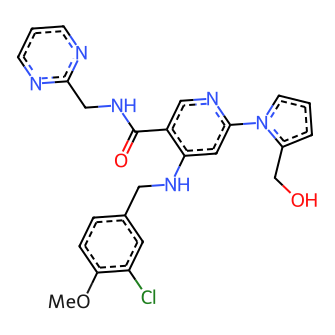 COc1ccc(CNc2cc(-n3cccc3CO)ncc2C(=O)NCc2ncccn2)cc1Cl